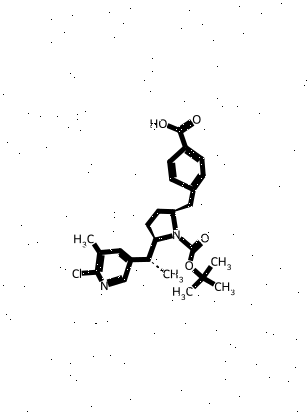 Cc1cc([C@@H](C)[C@H]2CC[C@@H](Cc3ccc(C(=O)O)cc3)N2C(=O)OC(C)(C)C)cnc1Cl